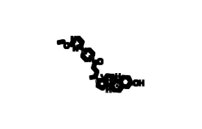 CCOc1nccc(N2CCN(C(=O)CCC(C)[C@H]3CC[C@H]4[C@@H]5CC=C6C[C@@H](O)CC[C@]6(C)[C@H]5CC[C@]34C)CC2)n1